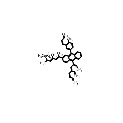 C=C\C=C/C(C=C)=C/C(=C\C)c1c2ccccc2c(-c2ccc(C)c(/C=C\C=C)c2)c2cc(/C(C)=C/C(C)=C/C(C)P(C)C)ccc12